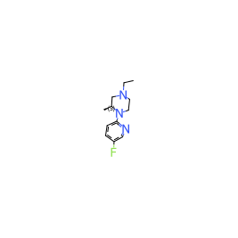 CCN1CCN(c2ccc(F)cn2)[C@@H](C)C1